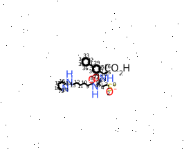 C[S+]([O-])CC[C@H](NC(=O)CCCCCNc1ccccn1)C(=O)NC(CC(=O)O)c1ccc(-c2ccccc2)cc1